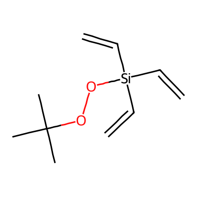 C=C[Si](C=C)(C=C)OOC(C)(C)C